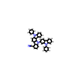 N#Cc1cccc2c1c1ccc3c(c4ccccc4n3-c3ccccc3)c1n2-c1ccc2c3ccccc3n(-c3ccccc3)c2c1